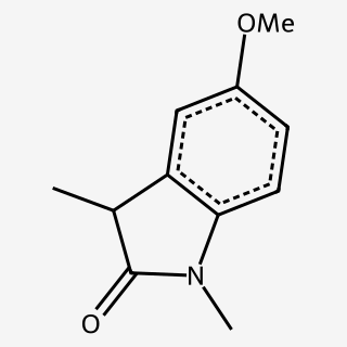 COc1ccc2c(c1)C(C)C(=O)N2C